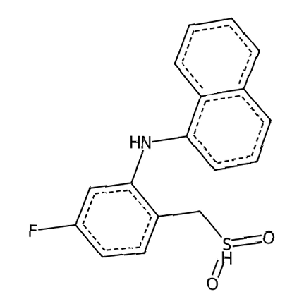 O=[SH](=O)Cc1ccc(F)cc1Nc1cccc2ccccc12